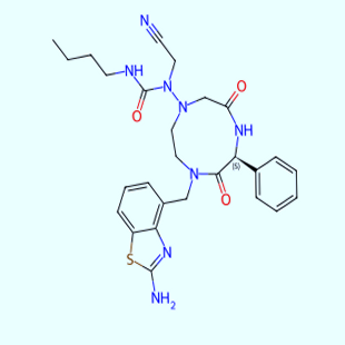 CCCCNC(=O)N(CC#N)N1CCN(Cc2cccc3sc(N)nc23)C(=O)[C@H](c2ccccc2)NC(=O)C1